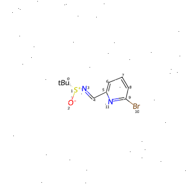 CC(C)(C)[S@@+]([O-])/N=C/c1cccc(Br)n1